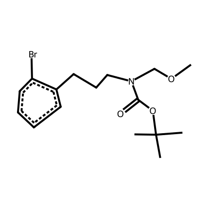 COCN(CCCc1ccccc1Br)C(=O)OC(C)(C)C